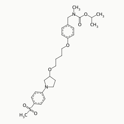 CC(C)OC(=O)N(C)Cc1ccc(OCCCCOC2CCN(c3ccc(S(C)(=O)=O)cc3)C2)cc1